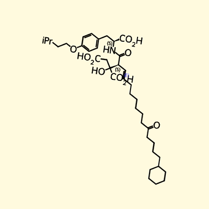 CC(C)CCOc1ccc(C[C@H](NC(=O)[C@@H](/C=C/CCCCCCC(=O)CCCCC2CCCCC2)C(O)(CC(=O)O)C(=O)O)C(=O)O)cc1